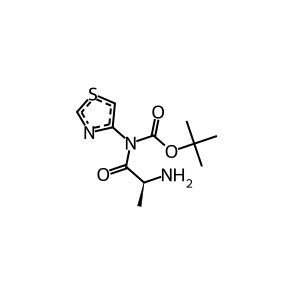 C[C@H](N)C(=O)N(C(=O)OC(C)(C)C)c1cscn1